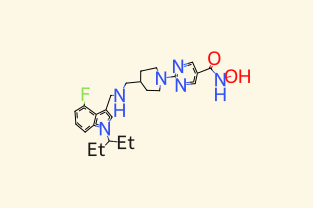 CCC(CC)n1cc(CNCC2CCN(c3ncc(C(=O)NO)cn3)CC2)c2c(F)cccc21